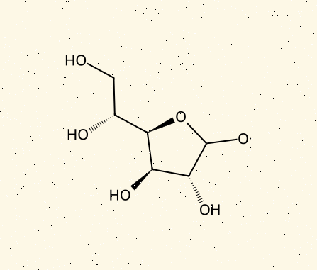 [O]C1O[C@H]([C@H](O)CO)[C@H](O)[C@H]1O